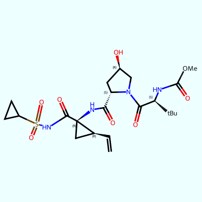 C=C[C@H]1C[C@]1(NC(=O)[C@@H]1C[C@@H](O)CN1C(=O)[C@@H](NC(=O)OC)C(C)(C)C)C(=O)NS(=O)(=O)C1CC1